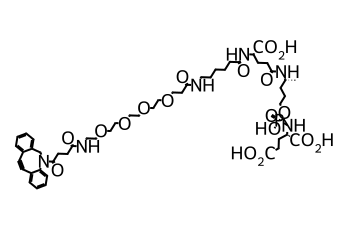 C[C@H](CCCOP(=O)(O)N[C@@H](CCC(=O)O)C(=O)O)NC(=O)CC[C@H](NC(=O)CCCCCNC(=O)CCOCCOCCOCCOCCNC(=O)CCC(=O)N1Cc2ccccc2C#Cc2ccccc21)C(=O)O